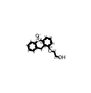 [O-][S+]1c2ccccc2Cc2c(OCCO)cccc21